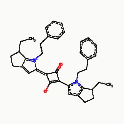 CCC1CCC2=C/C(=C3/C(=O)C(c4cc5c(n4CCc4ccccc4)C(CC)CC5)=C3[O-])[N+](CCc3ccccc3)=C21